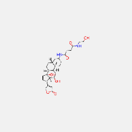 C[C@]12CCC(NC(=O)CCC(=O)NCCO)C[C@H]1CC[C@@H]1[C@@H]2C[C@@H](O)[C@]2(C)[C@@H](C3=CC(=O)OC3)CC[C@]12O